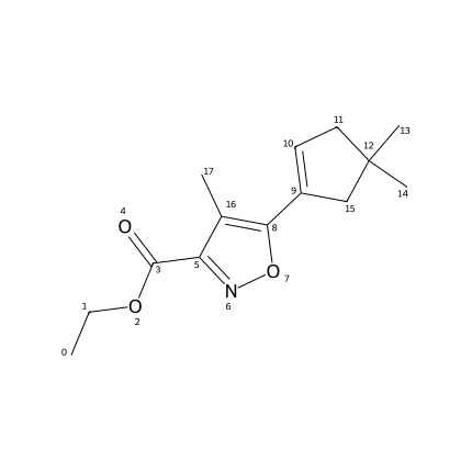 CCOC(=O)c1noc(C2=CCC(C)(C)C2)c1C